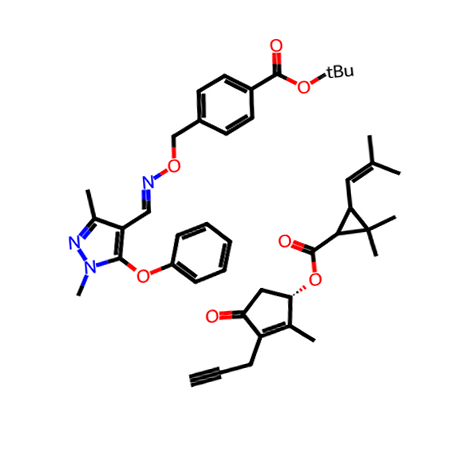 C#CCC1=C(C)[C@@H](OC(=O)C2C(C=C(C)C)C2(C)C)CC1=O.Cc1nn(C)c(Oc2ccccc2)c1/C=N/OCc1ccc(C(=O)OC(C)(C)C)cc1